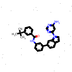 CC(C)(C#N)c1cccc(C(=O)Nc2cccc(-c3ccc4ccn(-c5cc(N)ncn5)c4c3)c2)c1